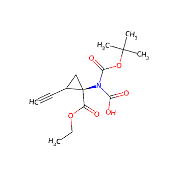 C#CC1C[C@@]1(C(=O)OCC)N(C(=O)O)C(=O)OC(C)(C)C